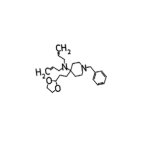 C=CCN(CC=C)C1(CCC2OCCO2)CCN(Cc2ccccc2)CC1